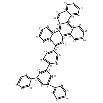 c1ccc(-c2cc(-c3ccccc3)nc(-c3ccc(-c4nc5c6ccccc6c6c7ccccc7ccc6c5c5ccccc45)cc3)n2)cc1